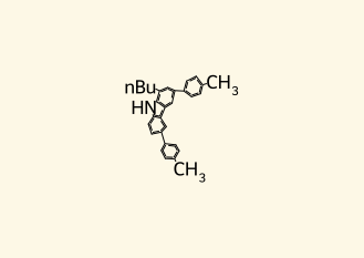 CCCCc1cc(-c2ccc(C)cc2)cc2c1[nH]c1ccc(-c3ccc(C)cc3)cc12